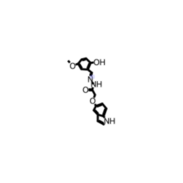 COc1ccc(O)c(/C=N/NC(=O)COc2ccc3[nH]ccc3c2)c1